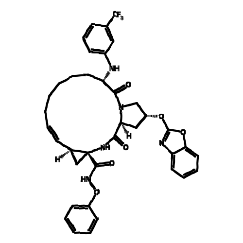 O=C1N[C@]2(C(=O)NOc3ccccc3)C[C@H]2/C=C\CCCCC[C@H](Nc2cccc(C(F)(F)F)c2)C(=O)N2C[C@H](Oc3nc4ccccc4o3)C[C@@H]12